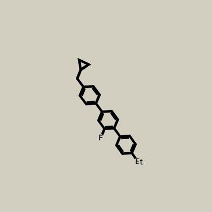 CCc1ccc(-c2ccc(-c3ccc(CC4CC4)cc3)cc2F)cc1